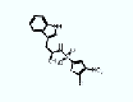 CC(Cc1c[nH]c2ccccc12)NS(=O)(=O)c1cc([N+](=O)[O-])c(Cl)s1